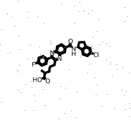 CC(CCCc1nc2cc(C(=O)N[C@@H]3CCc4cc(Cl)ccc43)ccc2nc1-c1ccc(F)cc1)C(=O)O